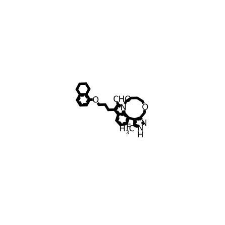 Cc1[nH]nc2c1-c1c(F)ccc3c(CCCOc4cccc5c4CCCC5)c(C=O)n(c13)CCCCOC2